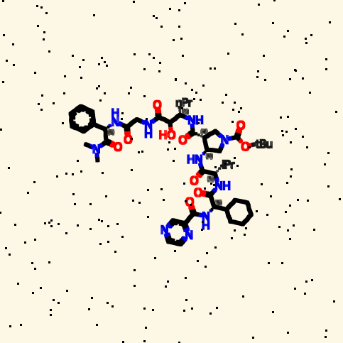 CCC[C@H](NC(=O)[C@@H]1CN(C(=O)OC(C)(C)C)C[C@@H]1NC(=O)[C@@H](NC(=O)[C@@H](NC(=O)c1cnccn1)C1CCCCC1)C(C)C)C(O)C(=O)NCC(=O)N[C@H](C(=O)N(C)C)c1ccccc1